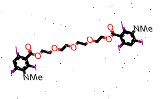 CNc1c(I)cc(I)c(C(=O)OCCOCCOCCOCCOC(=O)c2c(I)cc(I)c(NC)c2I)c1I